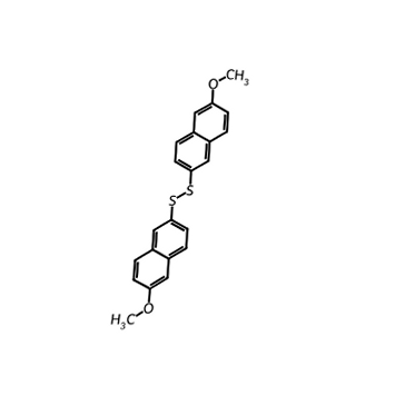 COc1ccc2cc(SSc3ccc4cc(OC)ccc4c3)ccc2c1